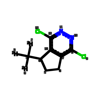 [2H]C([2H])([2H])C1CCc2c(Cl)nnc(Cl)c21